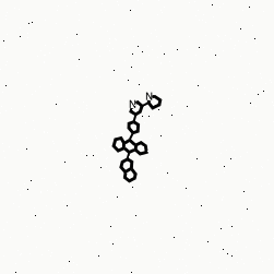 c1ccc(-c2cncc(-c3ccc(-c4c5ccccc5c(-c5ccc6ccccc6c5)c5ccccc45)cc3)c2)nc1